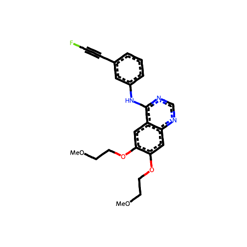 COCCOc1cc2ncnc(Nc3cccc(C#CF)c3)c2cc1OCCOC